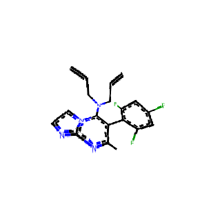 C=CCN(CC=C)c1c(-c2c(F)cc(F)cc2F)c(C)nc2nccn12